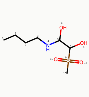 CCCCNC(O)C(O)S(C)(=O)=O